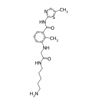 Cc1cnc(NC(=O)c2cccc(NCC(=O)NCCCCCN)c2C)s1